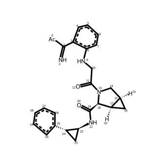 CC(=O)C(=N)c1ccccc1NCC(=O)N1C[C@H]2C[C@H]2[C@H]1C(=O)N[C@H]1C[C@@H]1c1ccccc1